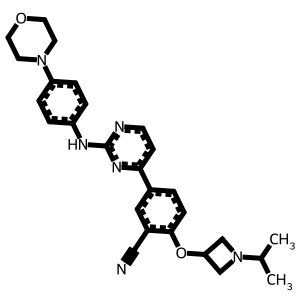 CC(C)N1CC(Oc2ccc(-c3ccnc(Nc4ccc(N5CCOCC5)cc4)n3)cc2C#N)C1